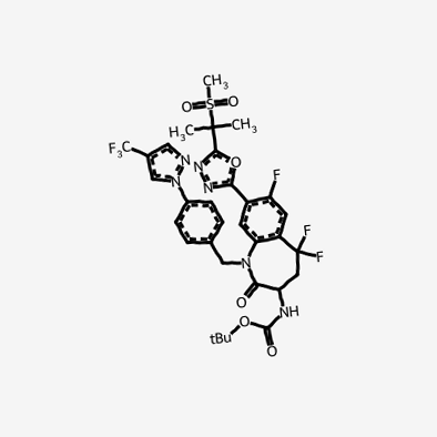 CC(C)(C)OC(=O)NC1CC(F)(F)c2cc(F)c(-c3nnc(C(C)(C)S(C)(=O)=O)o3)cc2N(Cc2ccc(-n3cc(C(F)(F)F)cn3)cc2)C1=O